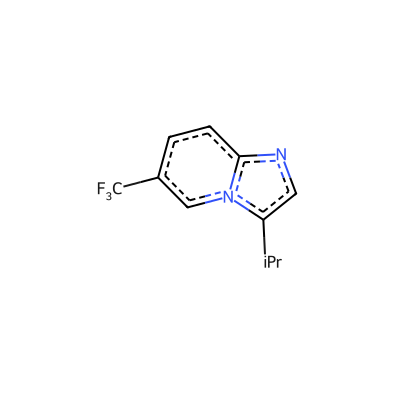 CC(C)c1cnc2ccc(C(F)(F)F)cn12